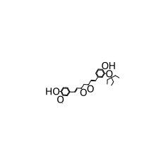 CCC(CC)(CC)Oc1cc(C=CC(=O)CC(=O)C=Cc2ccc(O)c(OC)c2)ccc1O